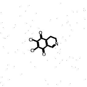 O=C1C(Cl)=C(Cl)C(=O)C2=C1C=NCC2